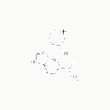 NC(=O)c1cnc2[nH]ccc2c1NC1CCCNC1